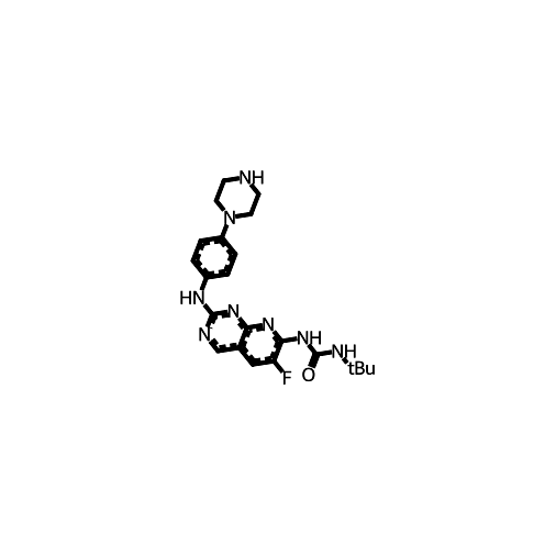 CC(C)(C)NC(=O)Nc1nc2nc(Nc3ccc(N4CCNCC4)cc3)ncc2cc1F